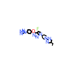 CCc1cnc(N2CCC(n3cc(F)c4c(Oc5ccc(-n6cnnn6)cc5)ncnc43)CC2)nc1